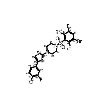 O=S(=O)(c1c(F)c(Br)cc(F)c1Br)N1CCN(c2nc(-c3ccc(Cl)c(F)c3)cs2)CC1